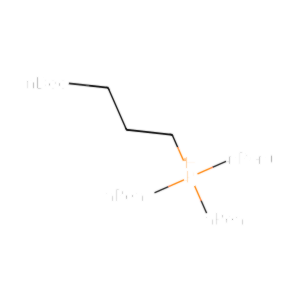 CCCCCCCCCCCCC[PH](CCCCC)(CCCCC)CCCCC